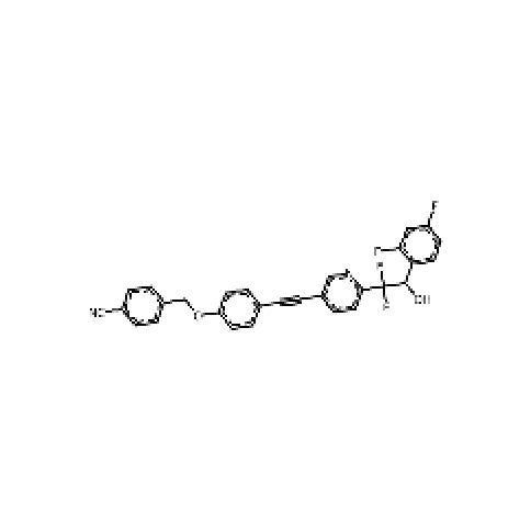 N#Cc1ccc(COc2ccc(C#Cc3ccc(C(F)(F)[C@H](O)c4ccc(F)cc4F)nc3)cc2)cc1